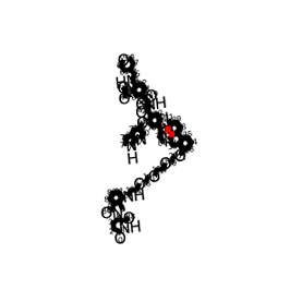 O=C1CCC(N2Cc3c(NCCOCCOCCOCCOc4cccc(-c5ccc(Cl)cc5)c4CN4CCN(c5ccc(C(=O)NS(=O)(=O)c6ccc(NCC7CCOCC7)c([N+](=O)[O-])c6)c(Oc6cnc7[nH]ccc7c6)c5)CC4)cccc3C2=O)C(=O)N1